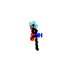 C=CCCCCC[C@H](Nc1ccc(OC(F)(F)F)c(F)c1)C(=O)OC